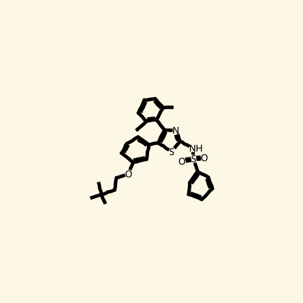 Cc1cccc(C)c1-c1nc(NS(=O)(=O)c2ccccc2)sc1-c1cccc(OCCC(C)(C)C)c1